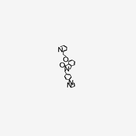 O=C1c2c(cccc2OCCc2ccccn2)CN1Cc1ccc(-n2cccn2)cc1